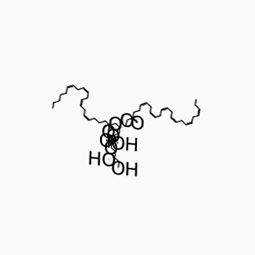 CC/C=C\C/C=C\C/C=C\C/C=C\C/C=C\C/C=C\CCC(=O)OC[C@H](COP(=O)(O)OC[C@@H](O)CO)OC(=O)CCC/C=C\C/C=C\C/C=C\C/C=C\CCCCC